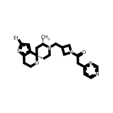 CCc1cc2c(s1)CCO[C@@]21CCN(CC2CN(C(=O)Cc3ccncn3)C2)[C@@H](C)C1